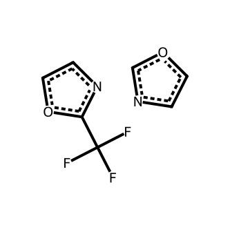 FC(F)(F)c1ncco1.c1cocn1